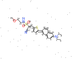 CCN(CC)c1ccc2cc(-c3ccc(/C=C(\C#N)S(=O)(=O)NCCOC)s3)ccc2c1